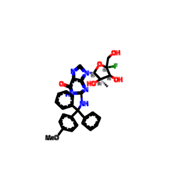 COc1ccc(C(Nc2nc3c(ncn3[C@@H]3O[C@](F)(CO)[C@@H](O)[C@@]3(C)O)c(=O)[nH]2)(c2ccccc2)c2ccccc2)cc1